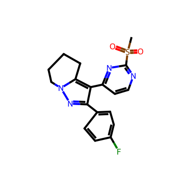 CS(=O)(=O)c1nccc(-c2c(-c3ccc(F)cc3)nn3c2CCCC3)n1